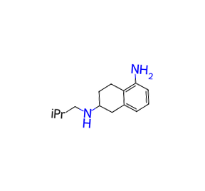 CC(C)CNC1CCc2c(N)cccc2C1